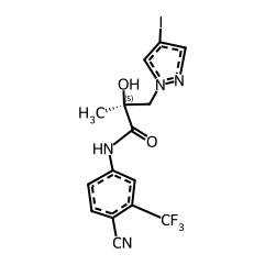 C[C@](O)(Cn1cc(I)cn1)C(=O)Nc1ccc(C#N)c(C(F)(F)F)c1